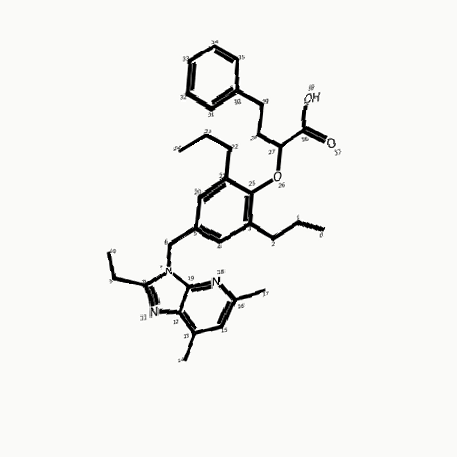 CCCc1cc(Cn2c(CC)nc3c(C)cc(C)nc32)cc(CCC)c1OC(CCc1ccccc1)C(=O)O